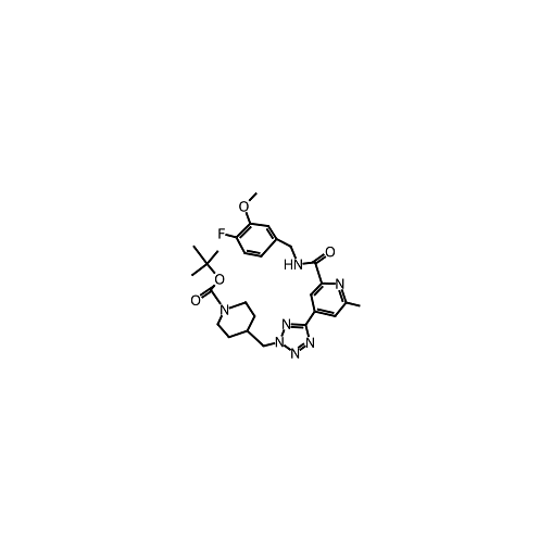 COc1cc(CNC(=O)c2cc(-c3nnn(CC4CCN(C(=O)OC(C)(C)C)CC4)n3)cc(C)n2)ccc1F